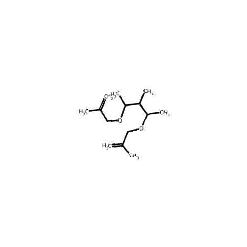 C=C(C)COC(C)C(C)C(C)OCC(=C)C